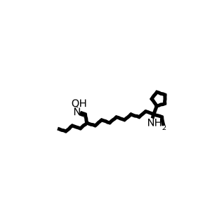 CCCCC(C=NO)CCCCCCCCC(N)(CC)C1CCCC1